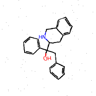 OC(Cc1ccccc1)(c1ccccc1)C1Cc2ccccc2CN1